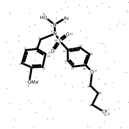 COc1ccc(CN(N(O)C(C)=O)S(=O)(=O)c2ccc(OCCCC(F)(F)F)cc2)cc1